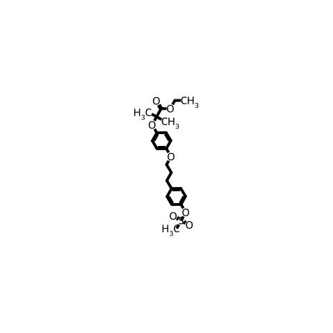 CCOC(=O)C(C)(C)Oc1ccc(OCCCc2ccc(OS(C)(=O)=O)cc2)cc1